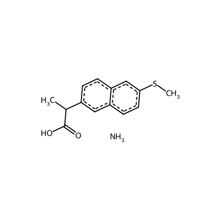 CSc1ccc2cc(C(C)C(=O)O)ccc2c1.N